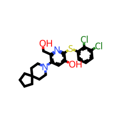 OCc1nc(Sc2cccc(Cl)c2Cl)c(O)cc1N1CCC2(CCCC2)CC1